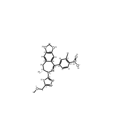 COCc1nnc(N2N=C(c3ccc([N+](=O)[O-])c(C)c3)c3cc4c(cc3C[C@H]2C)OCO4)s1